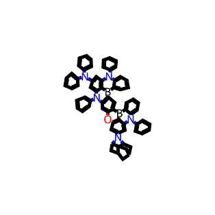 c1ccc(N(c2ccccc2)c2cc3c4c(c2)N(c2ccccc2)c2cc5c(cc2B4c2ccccc2N3c2ccccc2)B2c3ccccc3N(c3ccccc3)c3cc(N4C6CC7CC(C6)CC4C7)cc(c32)O5)cc1